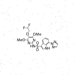 COc1nc(NS(=O)(=O)c2c[nH]c3c(-n4nccn4)cccc23)nc(OC)c1OCC(F)F